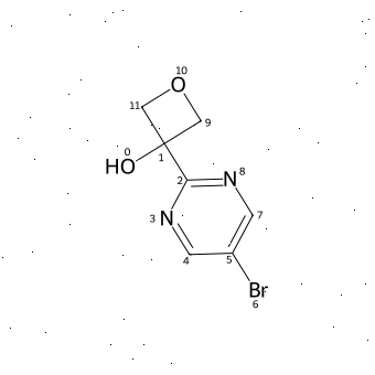 OC1(c2ncc(Br)cn2)COC1